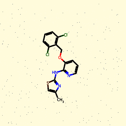 Cc1csc(Nc2ncccc2OCc2c(Cl)cccc2Cl)n1